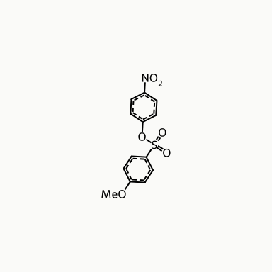 COc1ccc(S(=O)(=O)Oc2ccc([N+](=O)[O-])cc2)cc1